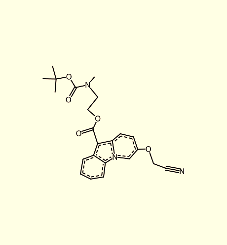 CN(CCOC(=O)c1c2ccccc2n2cc(OCC#N)ccc12)C(=O)OC(C)(C)C